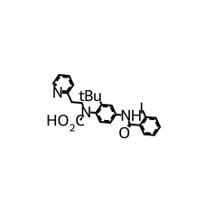 CC(C)(C)c1cc(NC(=O)c2ccccc2I)ccc1N(CCc1ccccn1)C(=O)O